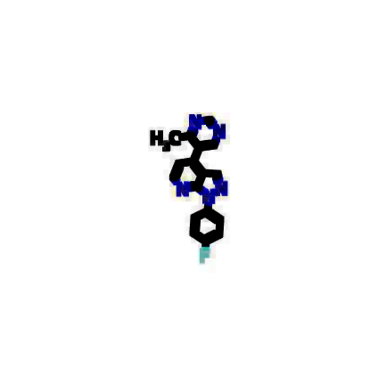 Cc1ncncc1-c1ccnc2c1cnn2-c1ccc(F)cc1